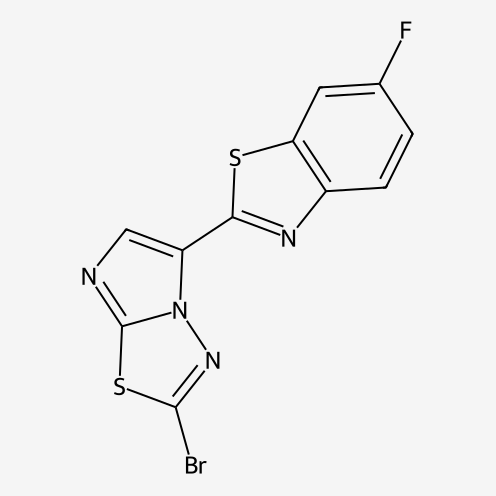 Fc1ccc2nc(-c3cnc4sc(Br)nn34)sc2c1